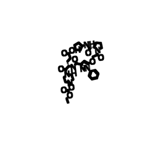 CCOC(=O)ON1CCN(C(=O)[C@H](CCC(=O)O)NC(=O)c2cc(OCC(=O)N3CCC[C@H]3C(=O)NC3CCCC3)n(-c3ccccc3)n2)CC1